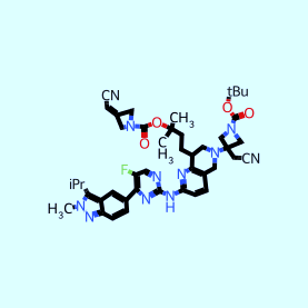 CC(C)c1c2cc(-c3nc(Nc4ccc5c(n4)C(CCC(C)(C)OC(=O)N4CC(=CC#N)C4)CN(C4(CC#N)CN(C(=O)OC(C)(C)C)C4)C5)ncc3F)ccc2nn1C